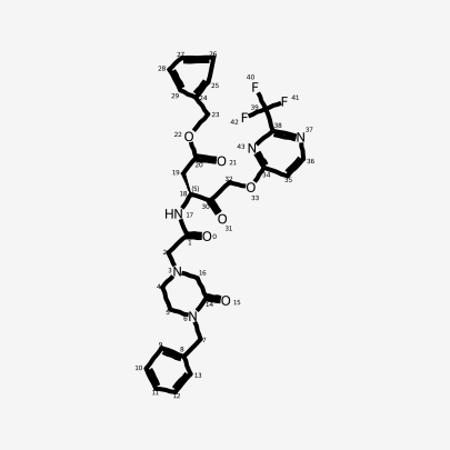 O=C(CN1CCN(Cc2ccccc2)C(=O)C1)N[C@@H](CC(=O)OCc1ccccc1)C(=O)COc1ccnc(C(F)(F)F)n1